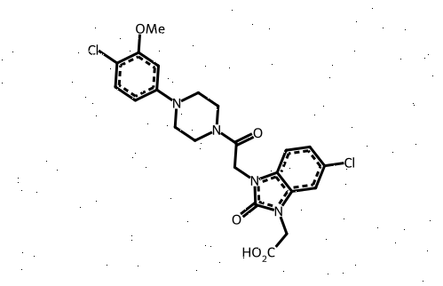 COc1cc(N2CCN(C(=O)Cn3c(=O)n(CC(=O)O)c4cc(Cl)ccc43)CC2)ccc1Cl